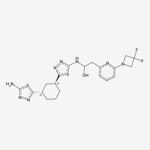 Nc1nnc([C@H]2CCC[C@H](c3nnc(NC(O)Cc4cccc(N5CC(F)(F)C5)n4)s3)C2)s1